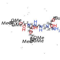 CO[Si](CCCOCC(O)CN(CCNCCNCCN(CCN)CC(O)COC(C)(C)C)CC(O)COCCC[Si](OC)(OC)OC)(OC)OC